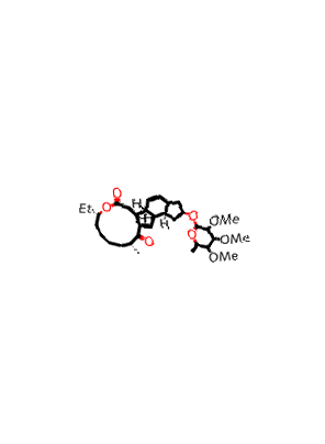 CC[C@H]1CCCC[C@@H](C)C(=O)C2=C[C@@H]3[C@@H](C=CC4C[C@@H](OC5OC(C)C(OC)C(OC)C5OC)C[C@H]43)[C@@H]2CC(=O)O1